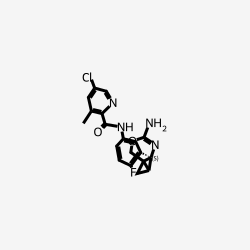 Cc1cc(Cl)cnc1C(=O)Nc1ccc(F)c([C@@]23N=C(N)OCC24CC43)c1